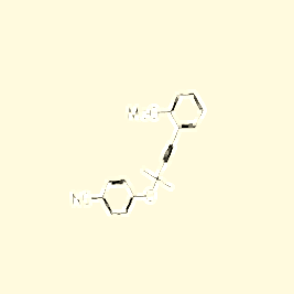 COc1ccccc1C#CC(C)(C)Oc1ccc(C#N)cc1